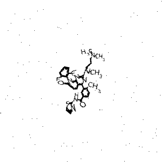 Cc1ccc(C(=O)Nc2nccs2)cc1-c1nc(N(C)CCCN(C)C)nc2c1ccc(=O)n2-c1c(F)cccc1F